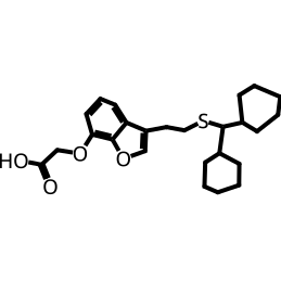 O=C(O)COc1cccc2c(CCSC(C3CCCCC3)C3CCCCC3)coc12